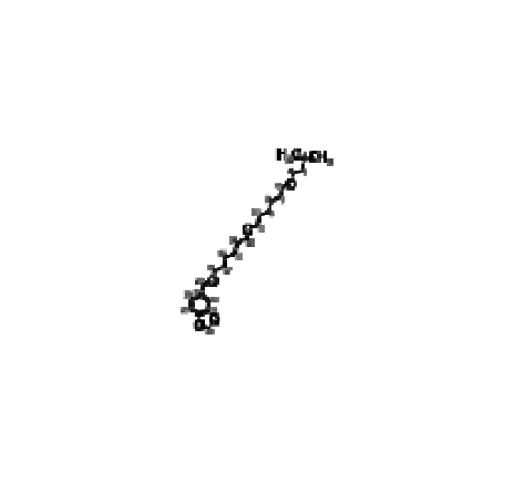 CC(C)CCOCCCCCCOCCCCCCOCc1ccc2c(c1)OCO2